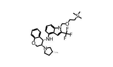 C[C@@H]1CCN([C@H]2COc3ccccc3[C@@H]2Nc2cccc3c2cc(C(F)(F)F)n3COCC[Si](C)(C)C)C1